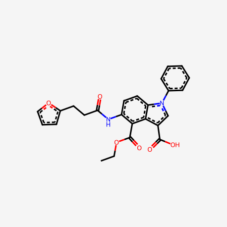 CCOC(=O)c1c(NC(=O)CCc2ccco2)ccc2c1c(C(=O)O)cn2-c1ccccc1